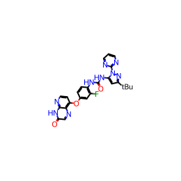 CC(C)(C)c1cc(NC(=O)Nc2ccc(Oc3ccnc4[nH]c(=O)cnc34)cc2F)n(-c2ncccn2)n1